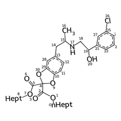 CCCCCCCOC(=O)C1(C(=O)OCCCCCCC)Oc2ccc(CC(C)NCC(O)c3cccc(Cl)c3)cc2O1